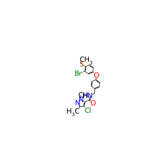 CSc1ccc(Oc2ccc(CNC(=O)c3c(Cl)c(C)nn3C)cc2)cc1Br